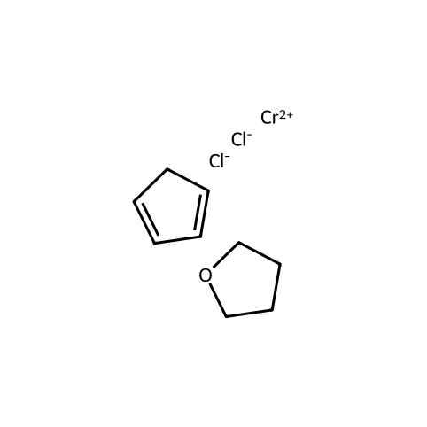 C1=CCC=C1.C1CCOC1.[Cl-].[Cl-].[Cr+2]